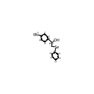 CC(C)(C)c1ccc([C@@H](O)C[Se]c2ccccc2)cc1